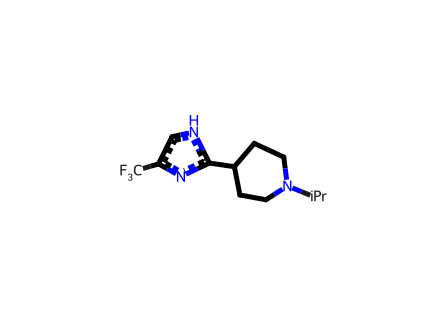 CC(C)N1CCC(c2nc(C(F)(F)F)c[nH]2)CC1